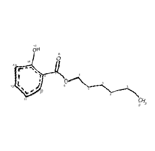 CCCCCCOC(=O)c1ccccc1O